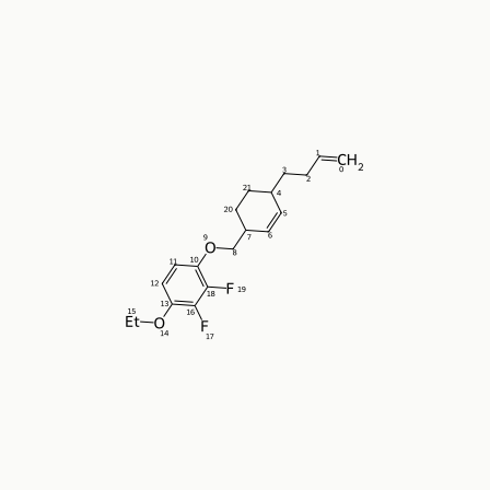 C=CCCC1C=CC(COc2ccc(OCC)c(F)c2F)CC1